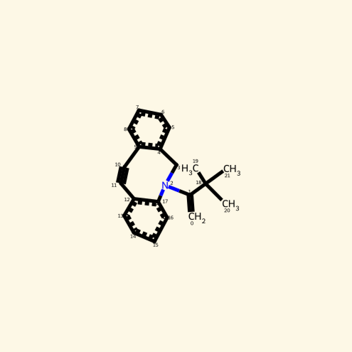 C=C(N1Cc2ccccc2C#Cc2ccccc21)C(C)(C)C